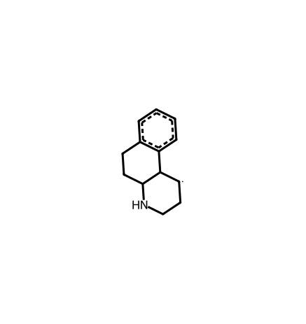 [CH]1CCNC2CCc3ccccc3C12